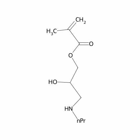 [CH2]CCNCC(O)COC(=O)C(=C)C